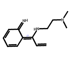 C=C/C(NCCN(C)C)=C1\C=CC=CC1=N